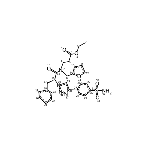 CCOC(=O)CCN(Cc1ccco1)C(=O)[C@H](Cc1ccccc1)n1cc(-c2ccc(S(N)(=O)=O)cc2)nn1